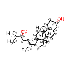 CC(C)[C@@H](O)CC[C@@H](C)[C@H]1CC[C@H]2[C@@H]3CCC4C[C@@H](O)CC[C@]4(C)[C@H]3CC[C@]12C